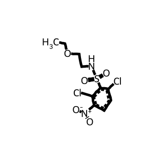 CCOCCNS(=O)(=O)c1c(Cl)ccc([N+](=O)[O-])c1Cl